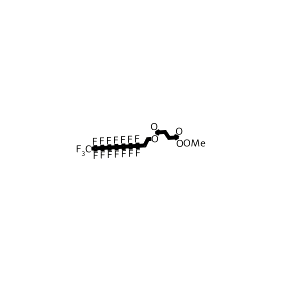 COOC(=O)CCC(=O)OCCC(F)(F)C(F)(F)C(F)(F)C(F)(F)C(F)(F)C(F)(F)C(F)(F)C(F)(F)F